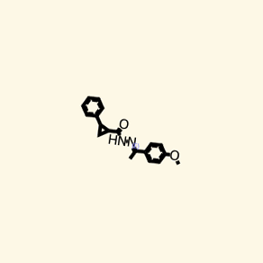 COc1ccc(/C(C)=N/NC(=O)C2CC2c2ccccc2)cc1